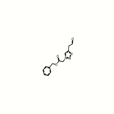 O=CCc1cn(CC(=O)OCc2ccccc2)nn1